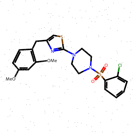 COc1ccc(Cc2csc(N3CCN(S(=O)(=O)c4ccccc4Cl)CC3)n2)c(OC)c1